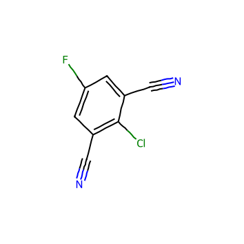 N#Cc1cc(F)cc(C#N)c1Cl